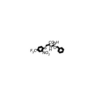 O=C(N[C@@H](CSc1ccc(C(F)(F)F)cc1[N+](=O)[O-])C(=O)O)OCc1ccccc1